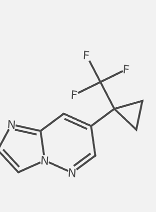 FC(F)(F)C1(c2cnn3ccnc3c2)CC1